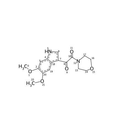 COc1cc2[nH]cc(C(=O)C(=O)N3CCOCC3)c2cc1OC